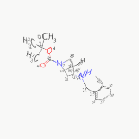 CC(C)(C)OC(=O)N1C[C@H]2C1C[C@H]2NCc1ccccc1